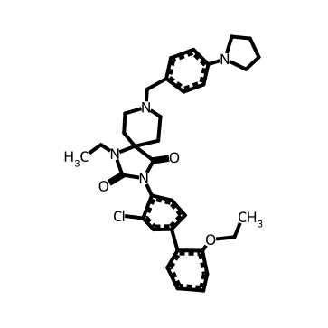 CCOc1ccccc1-c1ccc(N2C(=O)N(CC)C3(CCN(Cc4ccc(N5CCCC5)cc4)CC3)C2=O)c(Cl)c1